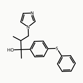 CC(Cn1ccnc1)C(C)(O)c1ccc(Sc2ccccc2)cc1